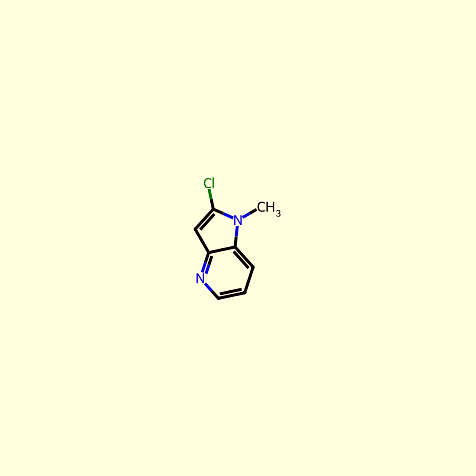 Cn1c(Cl)cc2ncccc21